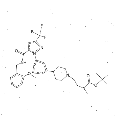 COc1ccccc1CNC(=O)c1cc(C(F)(F)F)nn1-c1cccc(C2CCN(CCN(C)C(=O)OC(C)(C)C)CC2)c1